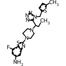 CCC(c1nnnn1Cc1ccc(C)s1)N1CCN(c2nc3cc(N)cc(F)c3s2)CC1